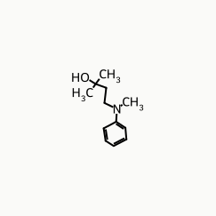 CN(CCC(C)(C)O)c1ccccc1